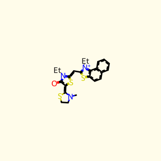 CCn1c(=O)/c(=C2\SCCN2C)s/c1=C\c1sc2ccc3ccccc3c2[n+]1CC